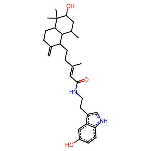 C=C1CCC2C(C(C)CC(O)C2(C)C)C1CC/C(C)=C/C(=O)NCCc1c[nH]c2ccc(O)cc12